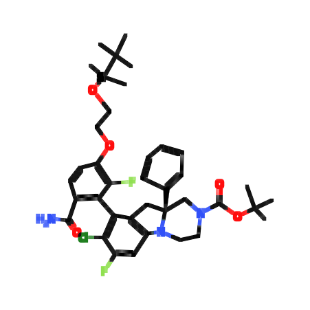 CC(C)(C)OC(=O)N1CCN2c3cc(F)c(Cl)c(-c4c(C(N)=O)ccc(OCCO[Si](C)(C)C(C)(C)C)c4F)c3C[C@]2(c2ccccc2)C1